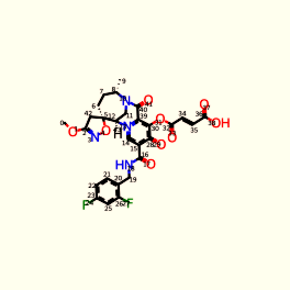 COC1=NO[C@@]2(CC[C@H](C)N3C[C@H]2n2cc(C(=O)NCc4ccc(F)cc4F)c(=O)c(OC(=O)/C=C/C(=O)O)c2C3=O)C1